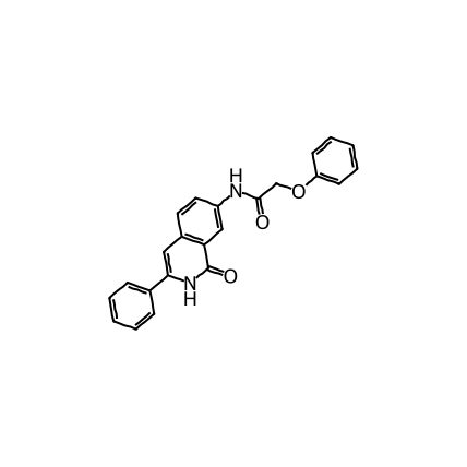 O=C(COc1ccccc1)Nc1ccc2cc(-c3ccccc3)[nH]c(=O)c2c1